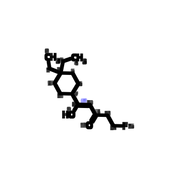 CCC1(CC)CCC(/C(O)=C/C(=O)CCF)CC1